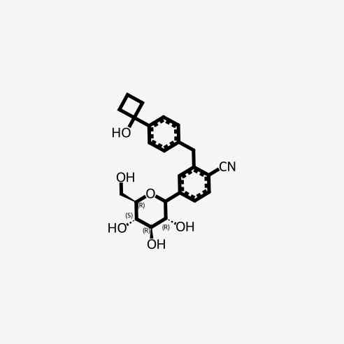 N#Cc1ccc(C2O[C@H](CO)[C@@H](O)[C@H](O)[C@H]2O)cc1Cc1ccc(C2(O)CCC2)cc1